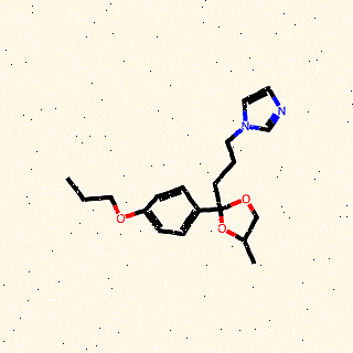 CCCOc1ccc(C2(CCCn3ccnc3)OCC(C)O2)cc1